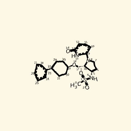 CS(=O)(=O)N[C@H]1CCN(c2cccc(=O)[nH]2)[C@H]1CO[C@H]1CC[C@@H](c2ccccc2)CC1